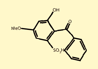 COc1cc(O)c(C(=O)c2ccccc2)c(S(=O)(=O)O)c1